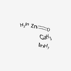 [GaH3].[InH3].[InH3].[O]=[Zn]